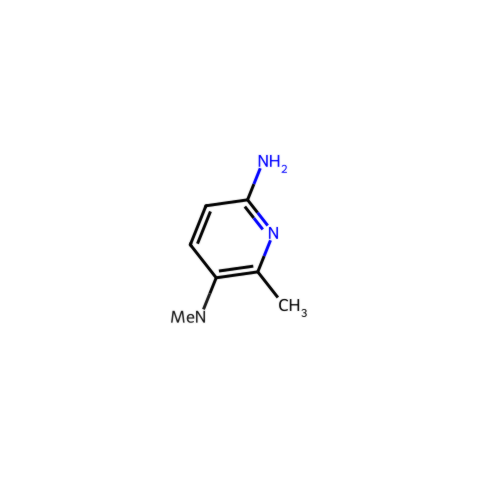 CNc1ccc(N)nc1C